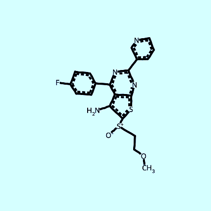 COCC[S+]([O-])c1sc2nc(-c3cccnc3)nc(-c3ccc(F)cc3)c2c1N